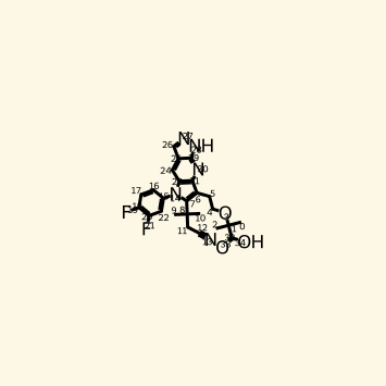 CC(C)(OCCc1c(C(C)(C)CC#N)n(-c2ccc(F)c(F)c2)c2cc3cn[nH]c3nc12)C(=O)O